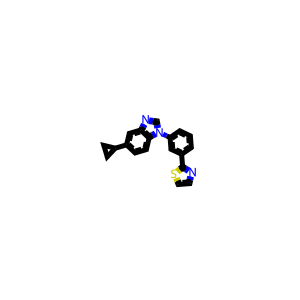 c1cc(-c2nccs2)cc(-n2cnc3cc(C4CC4)ccc32)c1